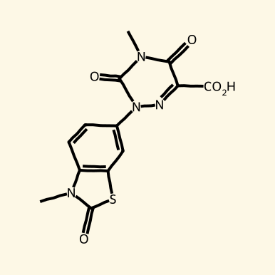 Cn1c(=O)c(C(=O)O)nn(-c2ccc3c(c2)sc(=O)n3C)c1=O